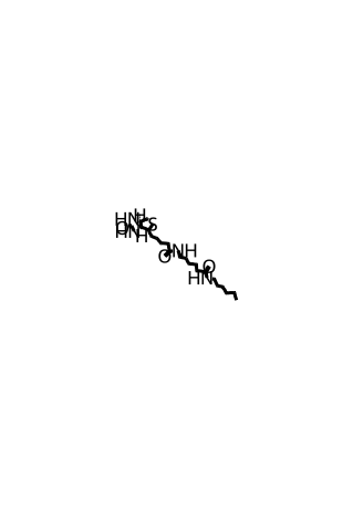 CCCCCCNC(=O)CCCCCNC(=O)CCCCC1SC[C@@H]2NC(=O)N[C@H]12